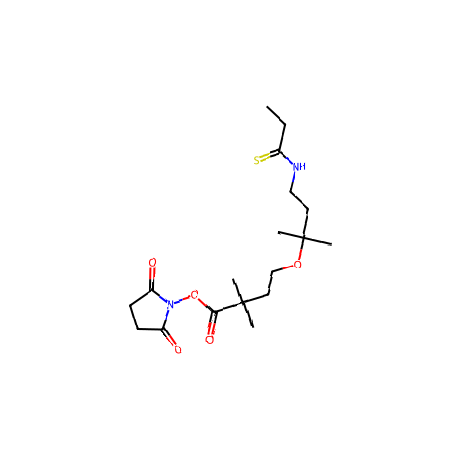 CCC(=S)NCCC(C)(C)OCCC(C)(C)C(=O)ON1C(=O)CCC1=O